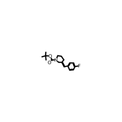 CC(C)(C)OC(=O)N1CCC/C(=C\c2ccc(F)cc2)C1